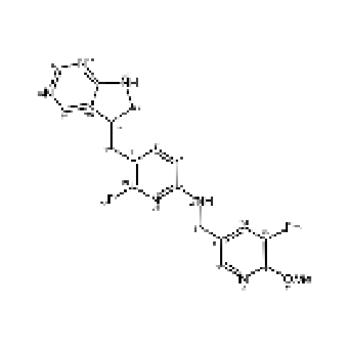 COc1ncc(CNc2ccc(CC3CNc4ncncc43)c(F)n2)cc1F